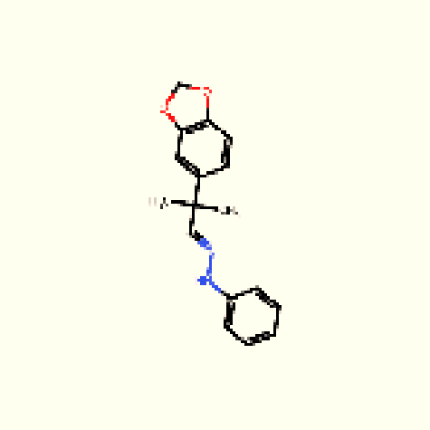 CC(C)(C=NNc1ccccc1)c1ccc2c(c1)OCO2